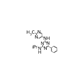 Cc1ncc(Nc2nc(NC(C)C)nc(-c3ccccc3)n2)cn1